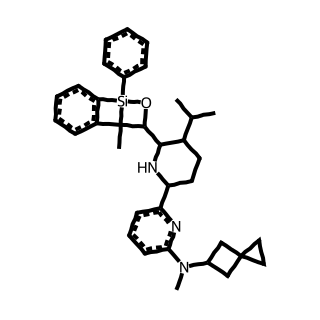 CC(C)C1CCC(c2cccc(N(C)C3CC4(CC4)C3)n2)NC1C1O[Si]2(c3ccccc3)c3ccccc3C12C